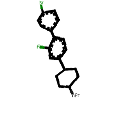 CCCC1CCC(c2ccc(-c3ccc(Br)cc3)c(F)c2)CC1